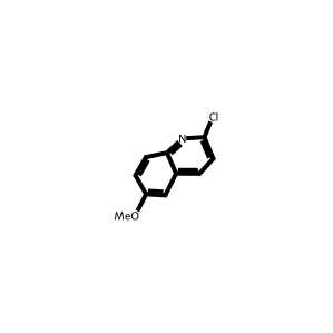 COc1ccc2nc(Cl)ccc2c1